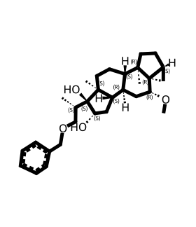 CO[C@@H]1C[C@H]2[C@@H]3C[C@H](O)[C@](O)([C@@H](C)COCc4ccccc4)[C@@]3(C)CC[C@@H]2[C@@]2(C)CC[C@H]3C[C@]312